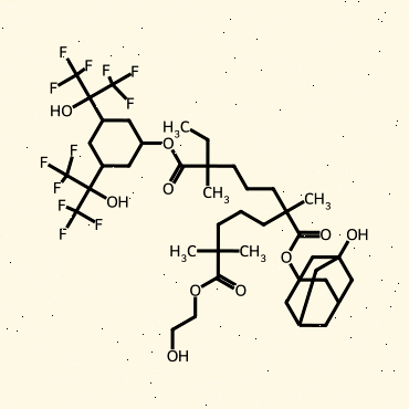 CCC(C)(CCCC(C)(CCCC(C)(C)C(=O)OCCO)C(=O)OC12CC3CC(CC(O)(C3)C1)C2)C(=O)OC1CC(C(O)(C(F)(F)F)C(F)(F)F)CC(C(O)(C(F)(F)F)C(F)(F)F)C1